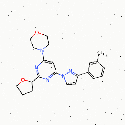 Cc1cccc(-c2ccn(-c3cc(N4CCOCC4)nc(C4CCCO4)n3)n2)c1